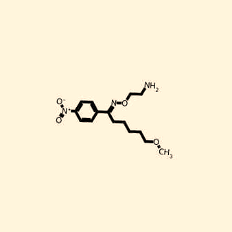 COCCCCCC(=NOCCN)c1ccc([N+](=O)[O-])cc1